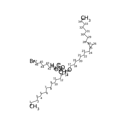 CCCCCCCCCCCCCCCC(OCCCCCCCCC1CC1CCCCCCCC)O[Si](C)(C)OCCCCCCBr